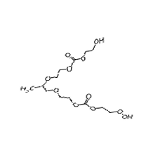 CC(COCCOC(=O)OCCOO)OCCOC(=O)OCCO